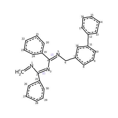 C=N/C(=N\C(=N/Cc1cccc(-c2ccccc2)c1)c1ccccc1)c1ccccc1